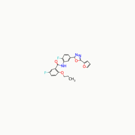 CCCOc1ccc(F)cc1C(=O)Nc1cc(-c2nnc(-c3ccco3)o2)ccc1F